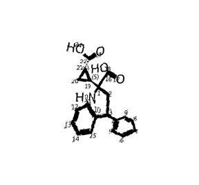 NC(CC(c1ccccc1)c1ccccc1)(C(=O)O)[C@H]1C[C@@H]1C(=O)O